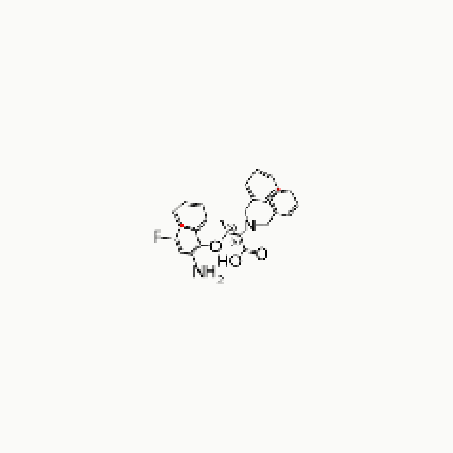 Nc1cc(F)ccc1O[C@@H](Cc1ccccc1)[C@@H](C(=O)O)N(Cc1ccccc1)Cc1ccccc1